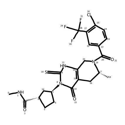 CNC(=O)[C@H]1CC[C@H](n2c(=S)[nH]c3c(c2=O)C[C@@H](C)N(C(=O)c2ccc(Cl)c(C(F)(F)F)c2)C3)C1